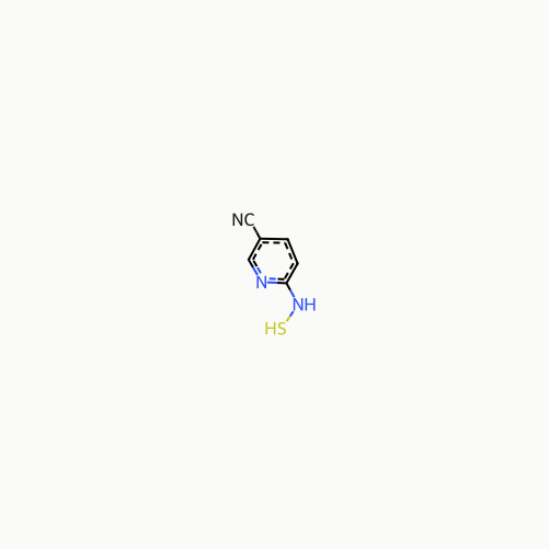 N#Cc1ccc(NS)nc1